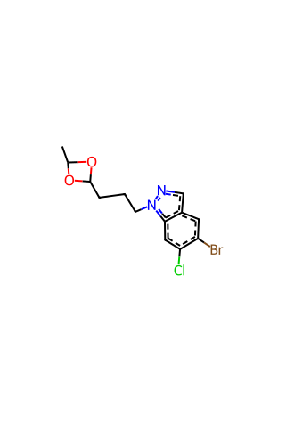 CC1OC(CCCn2ncc3cc(Br)c(Cl)cc32)O1